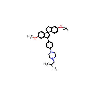 COc1ccc2c(c1)CCC21C=C(c2ccc(N3CCN(CC(C)C)CC3)cc2)c2cc(OC)ccc21